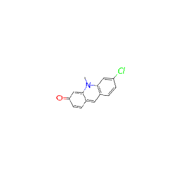 Cn1c2cc(=O)ccc-2cc2ccc(Cl)cc21